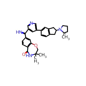 C[C@H]1CCCN1C1Cc2ccc(-c3cncc(C(=N)c4ccc5c(c4)OCC(C)(C)NC5=O)c3)cc2C1